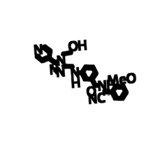 COc1ccccc1[C@@H](C#N)NC(=O)c1cccc(NCc2nnc(-c3ccncc3)n2CCO)c1